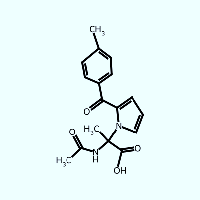 CC(=O)NC(C)(C(=O)O)n1cccc1C(=O)c1ccc(C)cc1